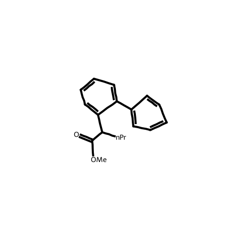 CCCC(C(=O)OC)c1ccccc1-c1ccccc1